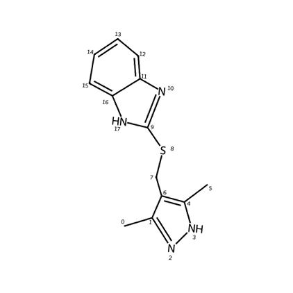 Cc1n[nH]c(C)c1CSc1nc2ccccc2[nH]1